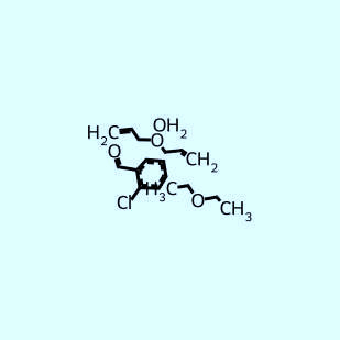 C=CCOCC=C.CCOCC.O.O=Cc1ccccc1Cl